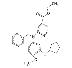 CCOC(=O)c1ccnc(N(Cc2cccnc2)c2ccc(OC)c(OC3CCCC3)c2)c1